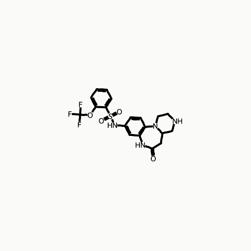 O=C1CC2CNCCN2c2ccc(NS(=O)(=O)c3ccccc3OC(F)(F)F)cc2N1